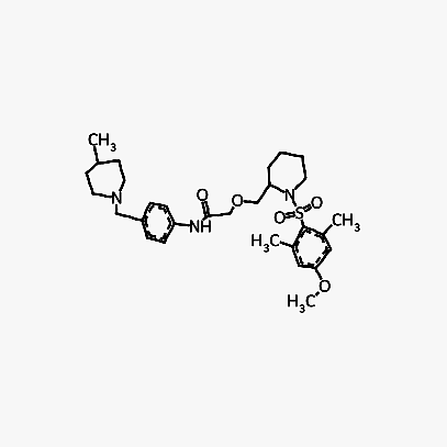 COc1cc(C)c(S(=O)(=O)N2CCCCC2COCC(=O)Nc2ccc(CN3CCC(C)CC3)cc2)c(C)c1